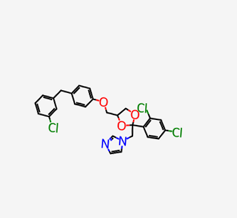 Clc1cccc(Cc2ccc(OCC3COC(Cn4ccnc4)(c4ccc(Cl)cc4Cl)O3)cc2)c1